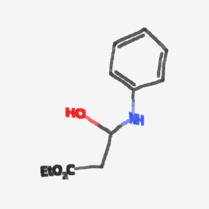 CCOC(=O)CC(O)Nc1ccccc1